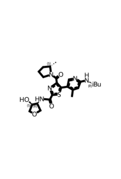 CC[C@@H](C)Nc1cc(C)c(-c2sc(C(=O)N[C@@H]3COC[C@H]3O)nc2C(=O)N2CCC[C@@H]2C)cn1